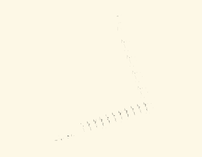 O=[N+]([O-])[O-].O=[N+]([O-])[O-].O=[N+]([O-])[O-].O=[N+]([O-])[O-].O=[N+]([O-])[O-].O=[N+]([O-])[O-].O=[N+]([O-])[O-].O=[N+]([O-])[O-].O=[N+]([O-])[O-].O=[N+]([O-])[O-].O=[N+]([O-])[O-].O=[N+]([O-])[O-].O=[N+]([O-])[O-].O=[N+]([O-])[O-].O=[N+]([O-])[O-].[Cl-].[Cl-].[Cl-].[Fe+3].[Fe+3].[Fe+3].[Fe+3].[Fe+3].[Fe+3]